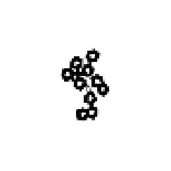 c1ccc(-c2cccc(C3(c4ccccc4)c4ccccc4-c4ccc(N(c5ccc(-c6cccc7ccccc67)cc5)c5cccc6ccccc56)cc43)c2)cc1